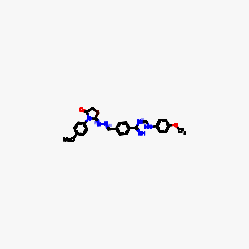 COc1ccc(N2C(=O)CS/C2=N\N=C\c2ccc(C(=N)/N=C\Nc3ccc(OC(F)(F)F)cc3)cc2)cc1